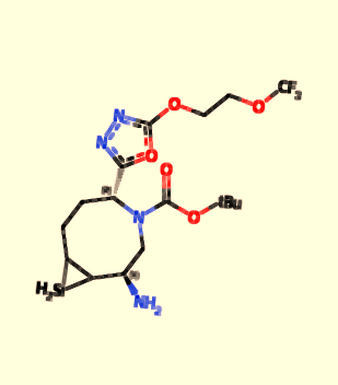 CC(C)(C)OC(=O)N1C[C@@H](N)C2[SiH2]C2CC[C@@H]1c1nnc(OCCOC(F)(F)F)o1